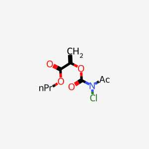 C=C(OC(=O)N(Cl)C(C)=O)C(=O)OCCC